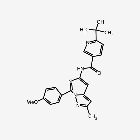 COc1ccc(-c2nc(NC(=O)c3ccc(C(C)(C)O)nc3)cc3cc(C)nn23)cc1